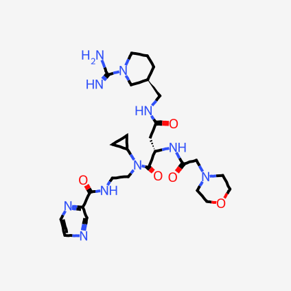 N=C(N)N1CCC[C@@H](CNC(=O)C[C@H](NC(=O)CN2CCOCC2)C(=O)N(CCNC(=O)c2cnccn2)C2CC2)C1